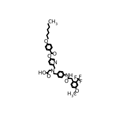 CCCCCCCOc1ccc(C(=O)Oc2ccc(CN(CC(=O)O)Cc3ccc(NC(=O)Cc4ccc(OC)cc4C(F)(F)F)cc3)nc2)cc1